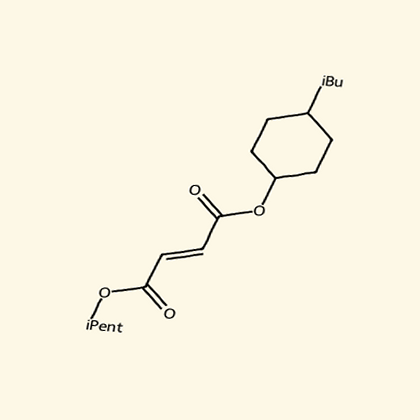 CCCC(C)OC(=O)/C=C/C(=O)OC1CCC(C(C)CC)CC1